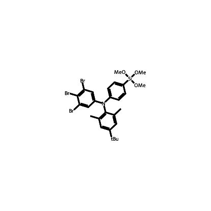 CO[Si](OC)(OC)c1ccc(N(c2cc(Br)c(Br)c(Br)c2)c2c(C)cc(C(C)(C)C)cc2C)cc1